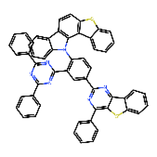 c1ccc(-c2nc(-c3ccccc3)nc(-c3cc(-c4nc(-c5ccccc5)c5sc6ccccc6c5n4)ccc3-n3c4ccccc4c4ccc5sc6ccccc6c5c43)n2)cc1